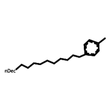 CCCCCCCCCCCCCCCCCCCCc1ccc(C)cc1